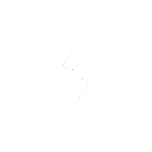 CC(C)c1ncc(-c2ccc(Cl)s2)[nH]1